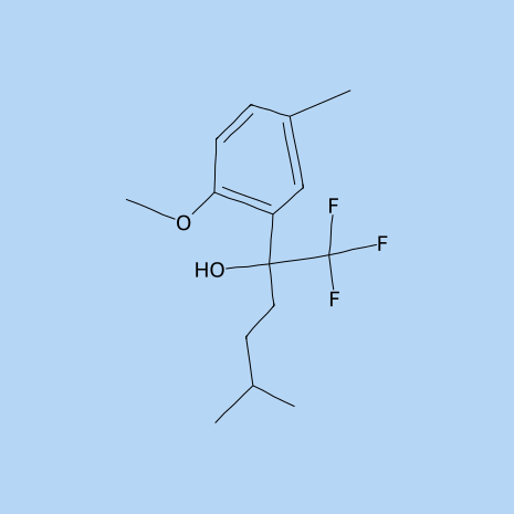 COc1ccc(C)cc1C(O)(CCC(C)C)C(F)(F)F